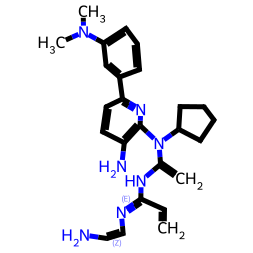 C=C/C(=N\C=C/N)NC(=C)N(c1nc(-c2cccc(N(C)C)c2)ccc1N)C1CCCC1